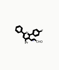 CC(C)c1cc(-c2ccccc2)nc(-c2ccc(F)cc2)c1/C=C/C=O